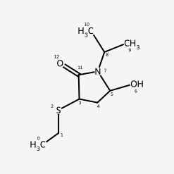 CCSC1CC(O)N(C(C)C)C1=O